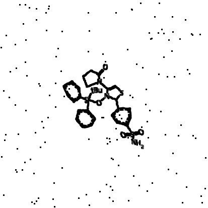 CC(C)(C)[Si](ON1C(N2CCCC2=O)=CSC1c1ccc(S(N)(=O)=O)cc1)(c1ccccc1)c1ccccc1